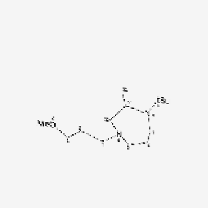 COCCCN1CCCN(C(C)(C)C)C(C)C1